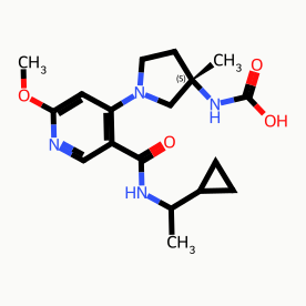 COc1cc(N2CC[C@](C)(NC(=O)O)C2)c(C(=O)NC(C)C2CC2)cn1